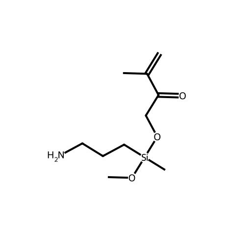 C=C(C)C(=O)CO[Si](C)(CCCN)OC